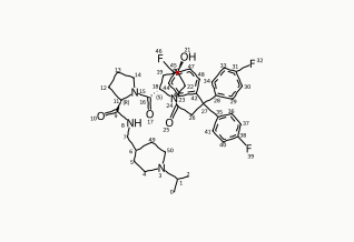 CC(C)N1CCC(CNC(=O)[C@H]2CCCN2C(=O)[C@@H]2C[C@@H](O)CN2C(=O)CC(c2ccc(F)cc2)(c2ccc(F)cc2)c2ccc(F)cc2)CC1